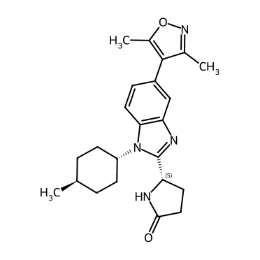 Cc1noc(C)c1-c1ccc2c(c1)nc([C@@H]1CCC(=O)N1)n2[C@H]1CC[C@H](C)CC1